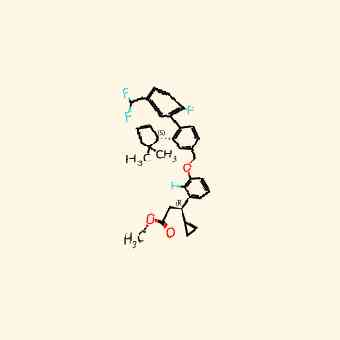 COC(=O)C[C@@H](c1cccc(OCc2ccc(-c3cc(C(F)F)ccc3F)c([C@H]3CCCC3(C)C)c2)c1F)C1CC1